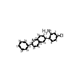 Nc1cc(Cl)ccc1-c1ccc2nc(-c3ccccc3)ccc2c1